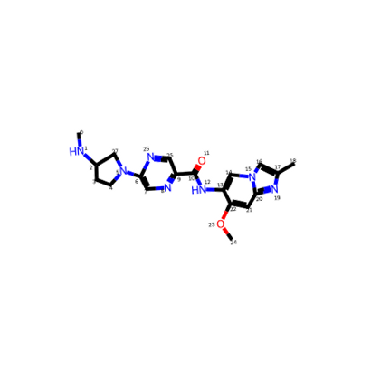 CNC1CCN(c2cnc(C(=O)Nc3cn4cc(C)nc4cc3OC)cn2)C1